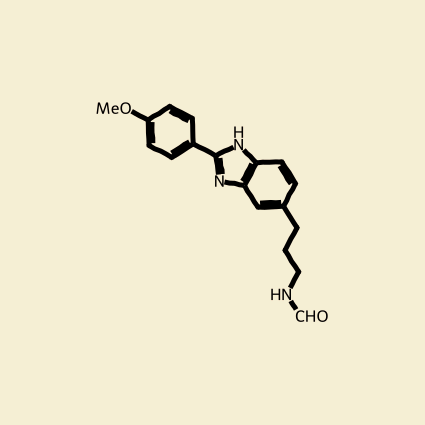 COc1ccc(-c2nc3cc(CCCNC=O)ccc3[nH]2)cc1